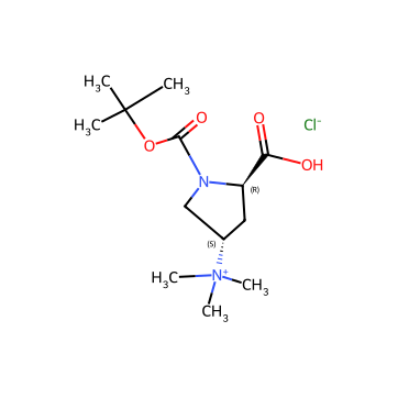 CC(C)(C)OC(=O)N1C[C@@H]([N+](C)(C)C)C[C@@H]1C(=O)O.[Cl-]